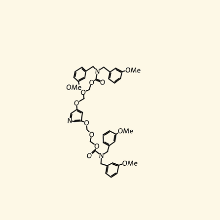 COc1cccc(CN(Cc2cccc(OC)c2)C(=O)OCOCOc2cncc(OCOCOC(=O)N(Cc3cccc(OC)c3)Cc3cccc(OC)c3)c2)c1